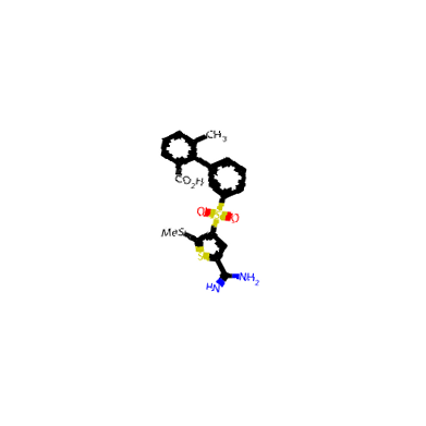 CSc1sc(C(=N)N)cc1S(=O)(=O)c1cccc(-c2c(C)cccc2C(=O)O)c1